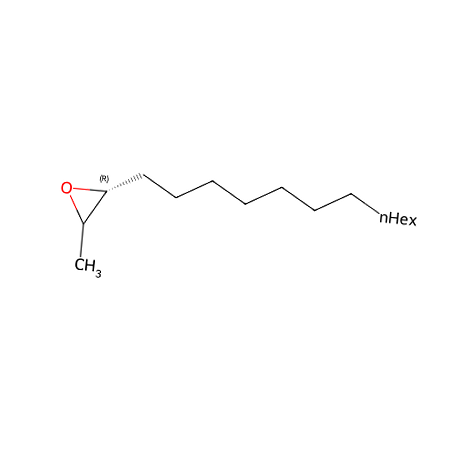 CCCCCCCCCCCCC[C@H]1OC1C